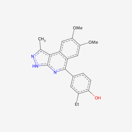 CCc1cc(-c2nc3[nH]nc(C)c3c3cc(OC)c(OC)cc23)ccc1O